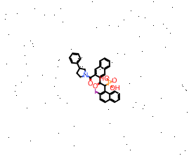 O=C(c1cc2ccccc2cc1C(=O)N1CCC(c2ccccc2)C1)C(c1c(I)ccc2ccccc12)P(=O)(O)O